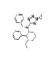 CCC1CCCC(N(Cc2ccccc2)c2nnn(OC)n2)C1c1ccccc1